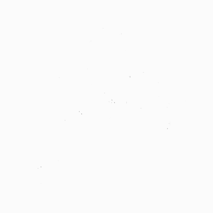 Cc1ccc2c(c1)N(CCC1CCCN(C)C1)CCn1c-2c(C2CCCCC2)c2ccc(C(=O)O)cc21